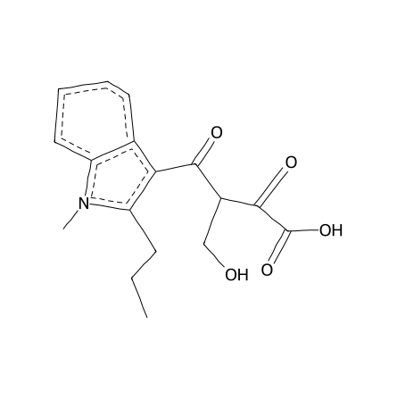 CCCc1c(C(=O)C(CO)C(=O)C(=O)O)c2ccccc2n1C